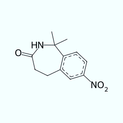 CC1(C)NC(=O)CCc2cc([N+](=O)[O-])ccc21